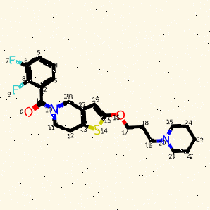 O=C(c1cccc(F)c1F)N1CCc2sc(OCCCN3CCCCC3)cc2C1